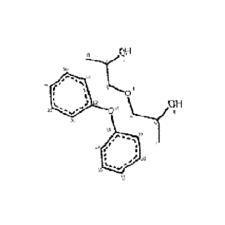 CC(O)COCC(C)O.c1ccc(Oc2ccccc2)cc1